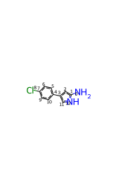 Nc1cc(-c2ccc(Cl)cc2)c[nH]1